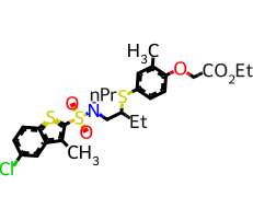 CCCN(CC(CC)Sc1ccc(OCC(=O)OCC)c(C)c1)S(=O)(=O)c1sc2ccc(Cl)cc2c1C